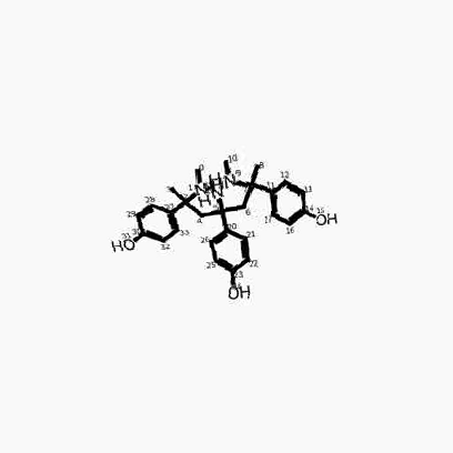 CNC(C)(CC(CC(C)(NC)c1ccc(O)cc1)(NC)c1ccc(O)cc1)c1ccc(O)cc1